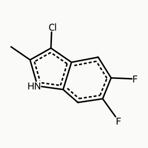 Cc1[nH]c2cc(F)c(F)cc2c1Cl